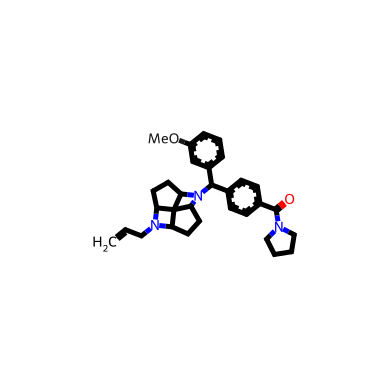 C=CCN1C2CCC3N(C(c4ccc(C(=O)N5CCCC5)cc4)c4cccc(OC)c4)C4CCC1C234